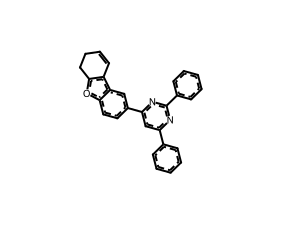 C1=Cc2c(oc3ccc(-c4cc(-c5ccccc5)nc(-c5ccccc5)n4)cc23)CC1